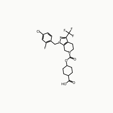 O=C(O)C1CCC(OC(=O)N2CCc3c(C(F)(F)F)nn(Cc4ccc(Cl)cc4F)c3C2)CC1